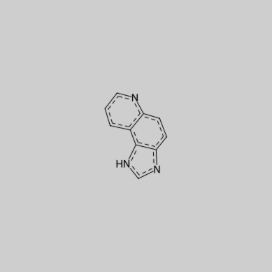 c1cnc2ccc3nc[nH]c3c2c1